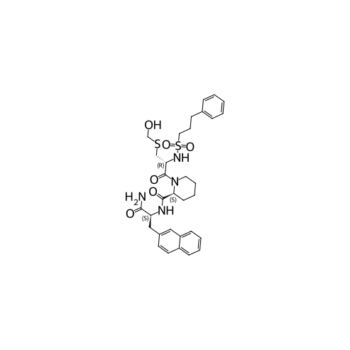 NC(=O)[C@H](Cc1ccc2ccccc2c1)NC(=O)[C@@H]1CCCCN1C(=O)[C@H](CSCO)NS(=O)(=O)CCCc1ccccc1